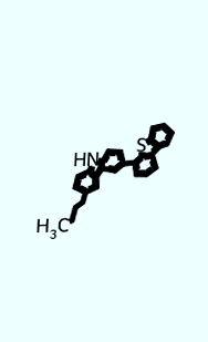 CCCCc1ccc2[nH]c3ccc(-c4cccc5c4sc4ccccc45)cc3c2c1